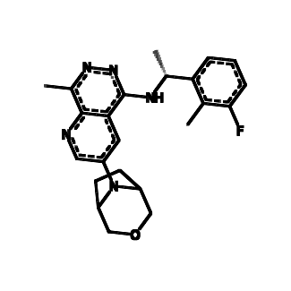 Cc1c(F)cccc1[C@@H](C)Nc1nnc(C)c2ncc(N3C4CCC3COC4)cc12